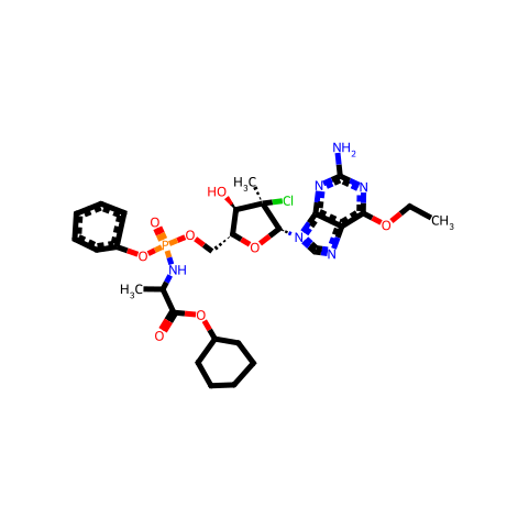 CCOc1nc(N)nc2c1ncn2[C@@H]1O[C@H](COP(=O)(NC(C)C(=O)OC2CCCCC2)Oc2ccccc2)[C@@H](O)[C@@]1(C)Cl